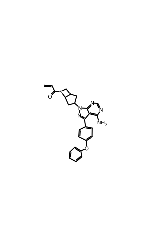 C=CC(=O)N1CC2CC(n3nc(-c4ccc(Oc5ccccc5)cc4)c4c(N)ncnc43)CC21